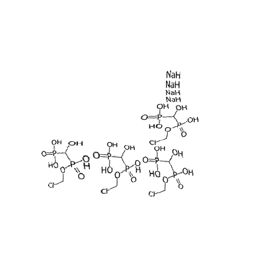 O=P(O)(O)C(O)P(=O)(O)OCCl.O=P(O)(O)C(O)P(=O)(O)OCCl.O=P(O)(O)C(O)P(=O)(O)OCCl.O=P(O)(O)C(O)P(=O)(O)OCCl.[NaH].[NaH].[NaH].[NaH]